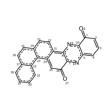 O=C1C=CC=c2nc3c(nc21)=c1ccc2ccc4ccccc4c2c1=CC3=O